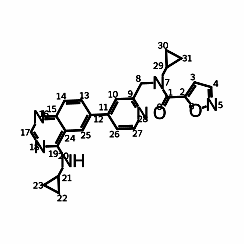 O=C(c1ccno1)N(Cc1cc(-c2ccc3ncnc(NC4CC4)c3c2)ccn1)C1CC1